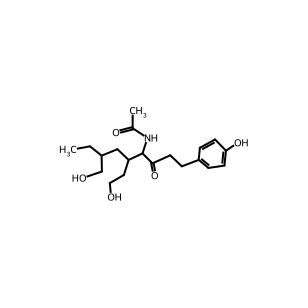 CCC(CO)CC(CCO)C(NC(C)=O)C(=O)CCc1ccc(O)cc1